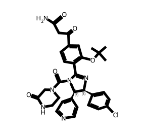 CC(C)(C)Oc1cc(C(=O)CC(N)=O)ccc1C1=N[C@@H](c2ccc(Cl)cc2)[C@@H](c2ccncc2)N1C(=O)N1CCNC(=O)C1